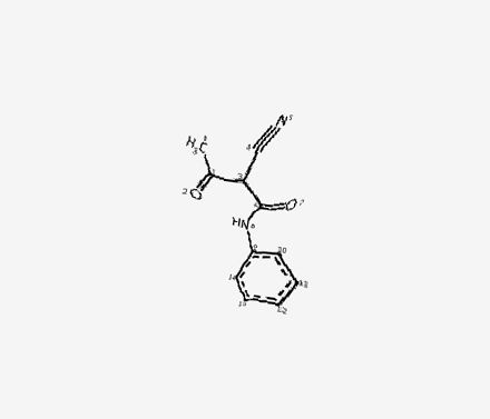 CC(=O)C(C#N)C(=O)Nc1ccccc1